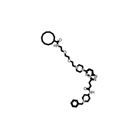 O=C(CCc1nnc2ccc(N3CCN(CCOCCOCCNC(=O)C4CCCCCCCCCC4)CC3)nn12)NC1CCN(Cc2ccccc2)CC1